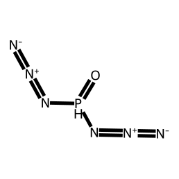 [N-]=[N+]=N[PH](=O)N=[N+]=[N-]